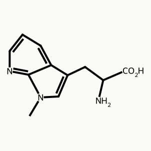 Cn1cc(CC(N)C(=O)O)c2cccnc21